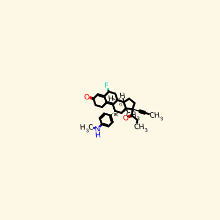 CC#C[C@]1(C(=O)CC)CC[C@H]2[C@@H]3CC(F)C4=CC(=O)CCC4=C3[C@@H](c3ccc(NC)cc3)C[C@@]21C